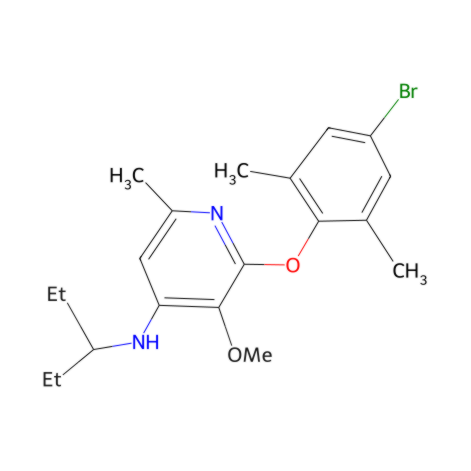 CCC(CC)Nc1cc(C)nc(Oc2c(C)cc(Br)cc2C)c1OC